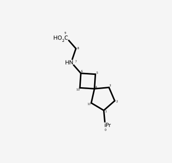 CC(C)C1CCC2(CC(NCC(=O)O)C2)C1